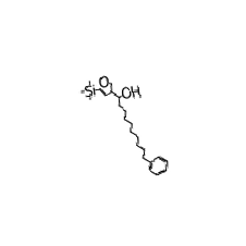 C[Si](C)(C)c1cc(C(O)CCCCCCCCCc2ccccc2)co1